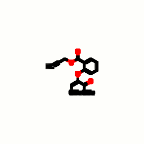 C#CCOC(=O)c1ccccc1OC(=COC)C(=O)OC